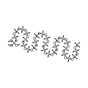 CO[Si](OC)(OC)O[Si](C)(C)O[Si](C)(C)O[Si](C)(C)O[Si](C)(C)O[Si](C)(C)O[Si](C)(C)O[Si](C)(C)O[Si](C)(C)O[Si](C)(C)O[Si](C)(C)O[Si](C)(C)O[Si](C)(C)O[Si](C)(C)O[Si](C)(C)O[Si](C)(C)O[Si](C)(C)O[Si](C)(C)O[Si](C)(C)O[Si](C)(C)O[Si](C)(C)O[Si](C)(C)O[Si](C)(C)O[Si](C)(C)O[Si](C)(C)O[Si](C)(C)O[Si](C)(C)C